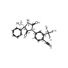 C[C@]1(c2cc[c]cc2)NC(=O)N(c2ccc(C#N)c(C(F)(F)F)c2)C1=O